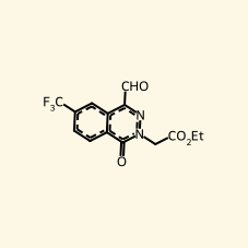 CCOC(=O)Cn1nc(C=O)c2cc(C(F)(F)F)ccc2c1=O